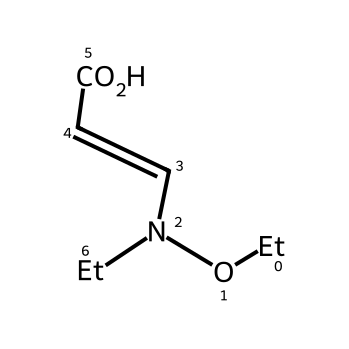 CCON(C=CC(=O)O)CC